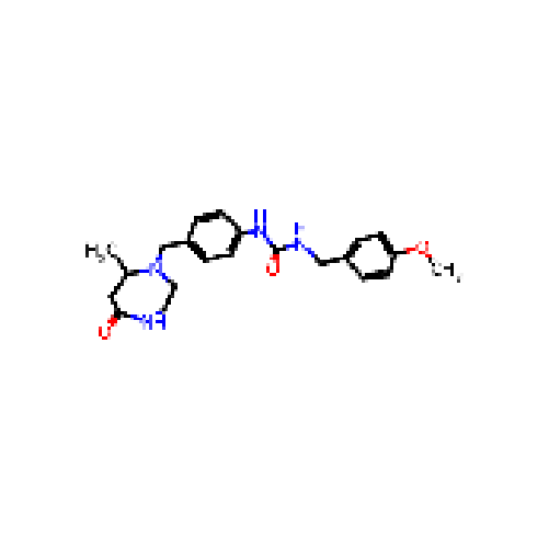 COc1ccc(CNC(=O)Nc2ccc(CN3CCNC(=O)CC3C)cc2)cc1